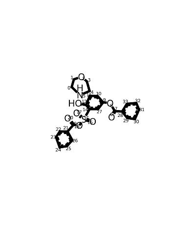 C1COCCN1.O=C(Oc1ccc(O)c(S(=O)(=O)OC(=O)c2ccccc2)c1)c1ccccc1